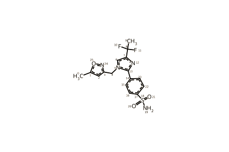 Cc1cc(Cn2cc(C(C)(F)F)nc2-c2ccc(S(N)(=O)=O)cc2)no1